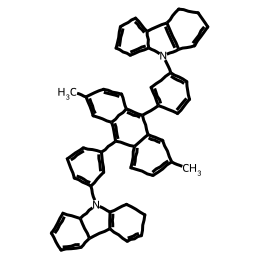 Cc1ccc2c(-c3cccc(-n4c5c(c6ccccc64)CCC=C5)c3)c3cc(C)ccc3c(-c3cccc(N4C5=C(C=CCC5)C5C=CC=CC54)c3)c2c1